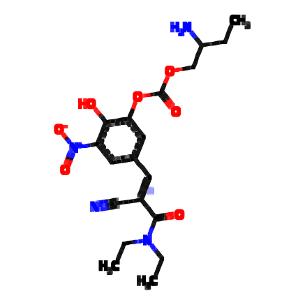 CCC(N)COC(=O)Oc1cc(/C=C(\C#N)C(=O)N(CC)CC)cc([N+](=O)[O-])c1O